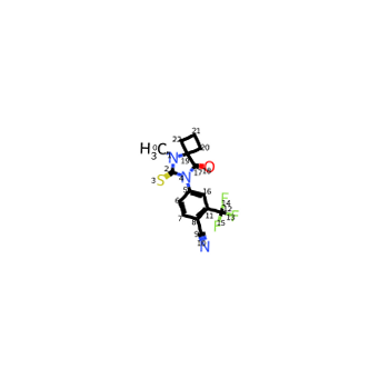 CN1C(=S)N(c2ccc(C#N)c(C(F)(F)F)c2)C(=O)C12CCC2